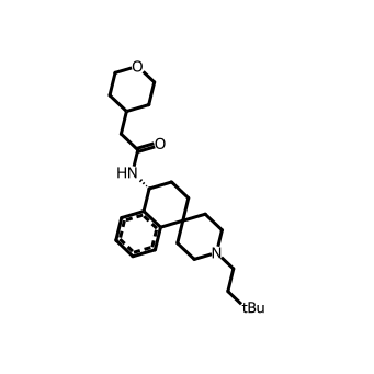 CC(C)(C)CCN1CCC2(CC[C@@H](NC(=O)CC3CCOCC3)c3ccccc32)CC1